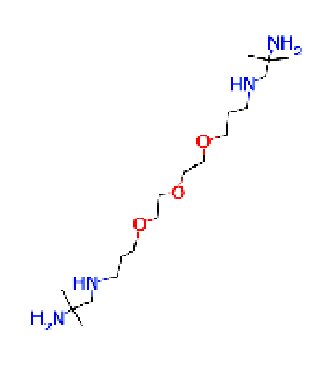 CC(C)(N)CNCCCOCCOCCOCCCNCC(C)(C)N